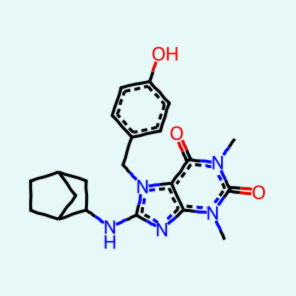 Cn1c(=O)c2c(nc(NC3CC4CCC3C4)n2Cc2ccc(O)cc2)n(C)c1=O